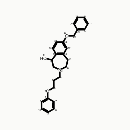 OC1CN(CCCOc2ccccc2)CCc2cc(OCc3ccccc3)ccc21